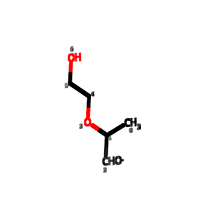 CC([C]=O)OCCO